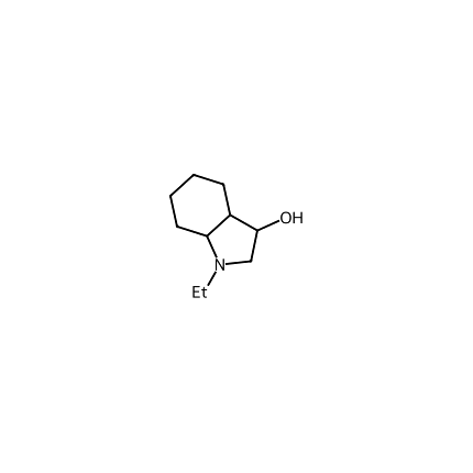 CCN1CC(O)C2CCCCC21